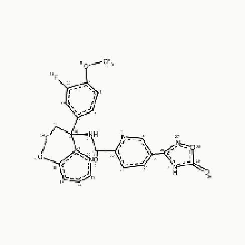 O=C(N[C@]1(c2ccc(OC(F)(F)F)c(F)c2)CCOc2cccnc21)c1ccc(-c2noc(=O)[nH]2)cn1